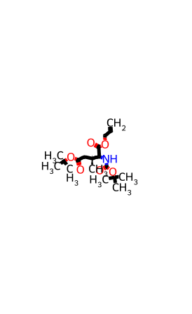 C=CCOC(=O)C(NC(=O)OC(C)(C)C)[C@@H](C)CC(=O)OC(C)(C)C